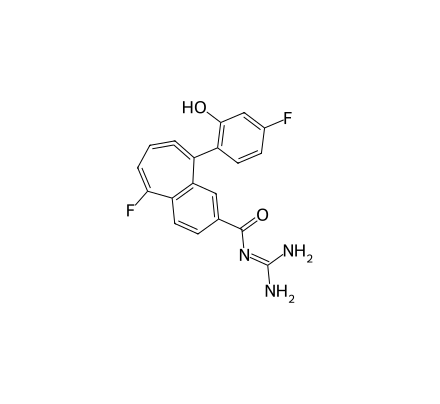 NC(N)=NC(=O)c1ccc2c(c1)C(c1ccc(F)cc1O)=C=CC=C2F